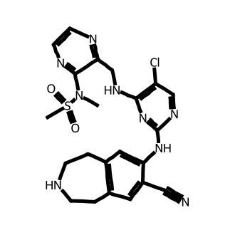 CN(c1nccnc1CNc1nc(Nc2cc3c(cc2C#N)CCNCC3)ncc1Cl)S(C)(=O)=O